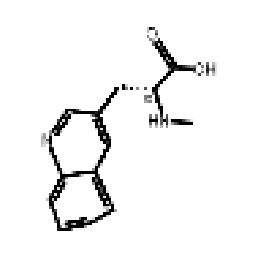 CN[C@H](Cc1cnc2ccccc2c1)C(=O)O